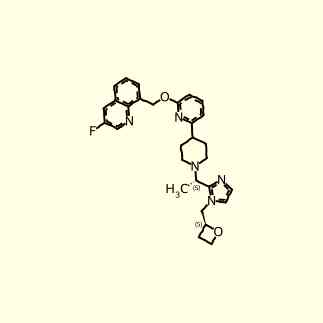 C[C@@H](c1nccn1C[C@@H]1CCO1)N1CCC(c2cccc(OCc3cccc4cc(F)cnc34)n2)CC1